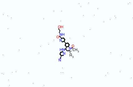 CC(=O)N1c2ccc(-c3ccc(C(=O)NCCCO)nc3)cc2[C@H](Nc2ccc(C#N)cn2)C[C@@H]1C